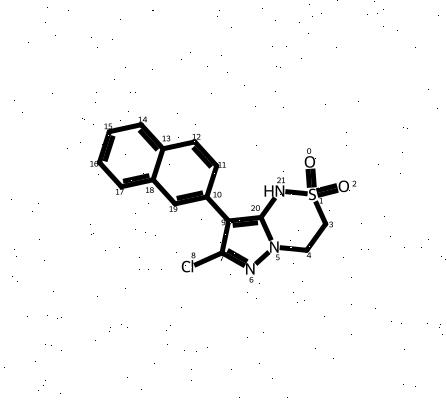 O=S1(=O)CCn2nc(Cl)c(-c3ccc4ccccc4c3)c2N1